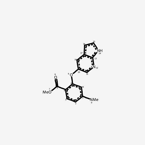 CNc1ccc(C(=O)OC)c(Oc2cnc3[nH]ccc3c2)c1